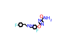 NC(=O)c1cnc(Oc2ccc(CNCCc3ccc(F)cc3)cc2F)cn1